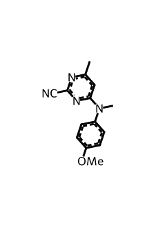 COc1ccc(N(C)c2cc(C)nc(C#N)n2)cc1